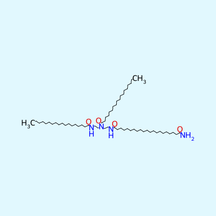 CCCCCCCCCCCCCCCCCC(=O)NCCN(CCNC(=O)CCCCCCCCCCCCCCCCCCCC(N)=O)C(=O)CCCCCCCCCCCCCCCCC